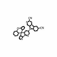 N#Cc1ccc2c(c1)c1cc(C#N)ncc1n2-c1cnc2c(c1)C1(c3ccccc3Oc3ccccc31)c1cccnc1-2